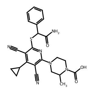 CC1CN(c2nc(SC(C(N)=O)c3ccccc3)c(C#N)c(C3CC3)c2C#N)CCN1C(=O)O